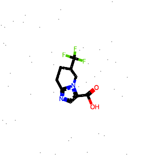 O=C(O)c1cnc2n1CC(C(F)(F)F)CC2